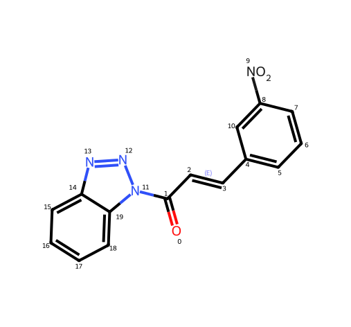 O=C(/C=C/c1cccc([N+](=O)[O-])c1)n1nnc2ccccc21